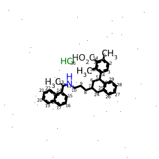 Cc1ccc(C2CC(CCCN[C@H](C)c3cccc4ccccc34)Cc3ccccc32)c(C)c1C(=O)O.Cl